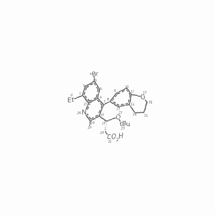 CCc1cc(Br)cc2c(-c3ccc4c(c3)CCCO4)c([C@@H](CC(=O)O)OC(C)(C)C)c(C)nc12